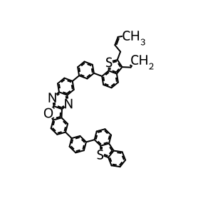 C=Cc1c(C/C=C\C)sc2c(-c3cccc(-c4ccc5nc6oc7ccc(-c8cccc(-c9cccc%10c9sc9ccccc9%10)c8)cc7c6nc5c4)c3)cccc12